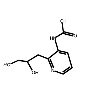 O=C(O)Nc1cccnc1CC(O)CO